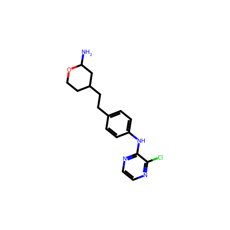 NC1CC(CCc2ccc(Nc3nccnc3Cl)cc2)CCO1